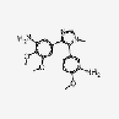 COc1ccc(-c2c(-c3cc(N)c(OC)c(OC)c3)ncn2C)cc1N